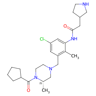 Cc1c(CN2CCN(C(=O)C3CCCC3)[C@@H](C)C2)cc(Cl)cc1NC(=O)CC1CCNC1